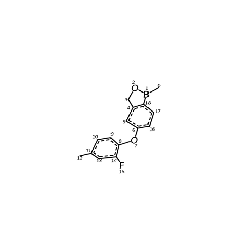 CB1OCc2cc(Oc3ccc(C)cc3F)ccc21